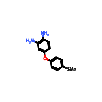 CSc1ccc(Oc2ccc(N)c(N)c2)cc1